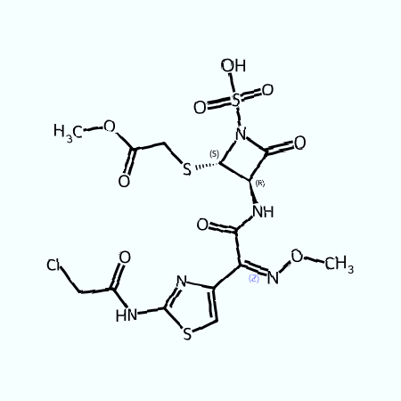 CO/N=C(\C(=O)N[C@@H]1C(=O)N(S(=O)(=O)O)[C@H]1SCC(=O)OC)c1csc(NC(=O)CCl)n1